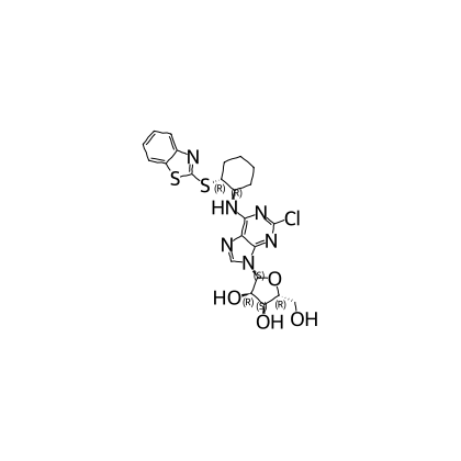 OC[C@H]1O[C@H](n2cnc3c(N[C@@H]4CCCC[C@H]4Sc4nc5ccccc5s4)nc(Cl)nc32)[C@H](O)[C@@H]1O